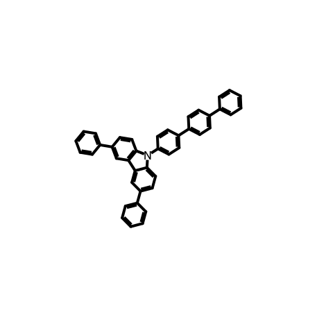 c1ccc(-c2ccc(-c3ccc(-n4c5ccc(-c6ccccc6)cc5c5cc(-c6ccccc6)ccc54)cc3)cc2)cc1